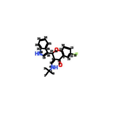 CC(C)(C)N/C=C1\C(=O)c2cc(F)ccc2OC1c1c[nH]c2ccccc12